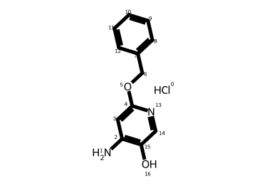 Cl.Nc1cc(OCc2ccccc2)ncc1O